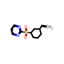 C=CC1CCCC(S(=O)(=O)c2ncccn2)C1